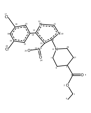 CCOC(=O)C1CCN(c2ncnc(-c3cc(Cl)cc(Cl)c3)c2[N+](=O)[O-])CC1